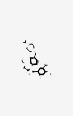 CCNC(=O)c1nnc(-c2cc(C(C)C)c(OC)cc2O)n1-c1ccc(CN2CCN(C(C)C)CC2)cc1